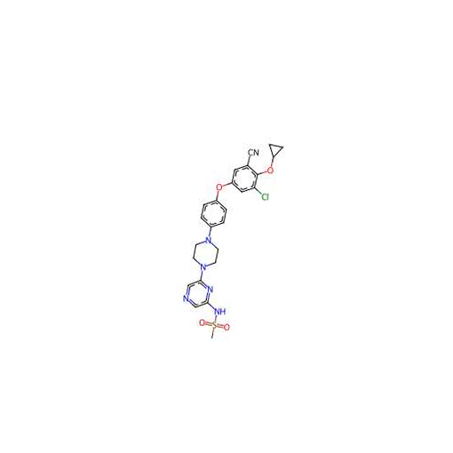 CS(=O)(=O)Nc1cncc(N2CCN(c3ccc(Oc4cc(Cl)c(OC5CC5)c(C#N)c4)cc3)CC2)n1